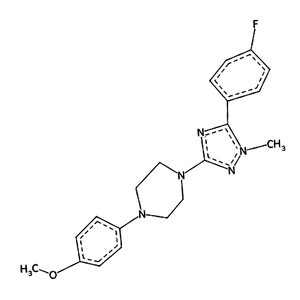 COc1ccc(N2CCN(c3nc(-c4ccc(F)cc4)n(C)n3)CC2)cc1